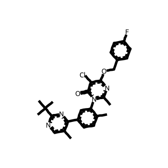 Cc1ccc(-c2nc(C(C)(C)C)ncc2C)cc1-n1c(C)nc(OCc2ccc(F)cc2)c(Cl)c1=O